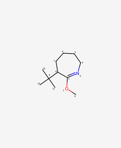 COC1=NCCCCC1C(C)(C)C